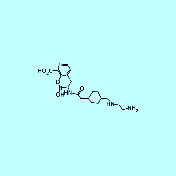 NCCNCC1CCC(CC(=O)NC2Cc3cccc(C(=O)O)c3OB2O)CC1